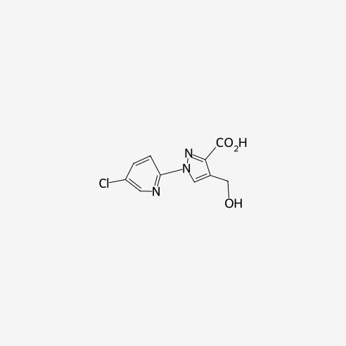 O=C(O)c1nn(-c2ccc(Cl)cn2)cc1CO